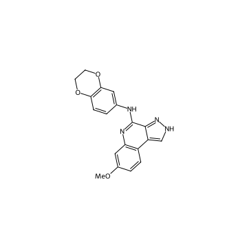 COc1ccc2c(c1)nc(Nc1ccc3c(c1)OCCO3)c1n[nH]cc12